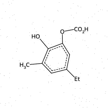 CCc1cc(C)c(O)c(OC(=O)O)c1